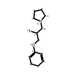 FC(COC1=C[CH]CC=C1)CN1CCCC1